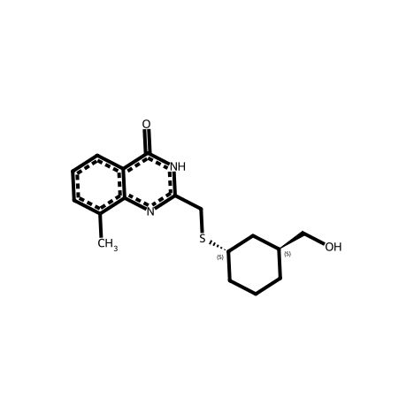 Cc1cccc2c(=O)[nH]c(CS[C@H]3CCC[C@H](CO)C3)nc12